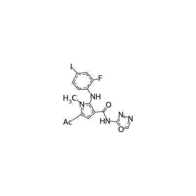 CC(=O)c1cc(C(=O)Nc2nnco2)c(Nc2ccc(I)cc2F)n1C